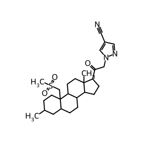 CC1CCC2(CS(C)(=O)=O)C(CCC3C4CCC(C(=O)Cn5cc(C#N)cn5)C4(C)CCC32)C1